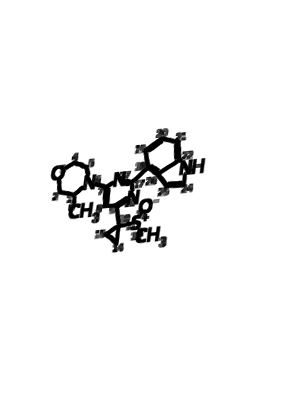 CC1COCCN1c1cc(C2([S+](C)[O-])CC2)nc(-c2cccc3[nH]ccc23)n1